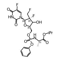 CC(C)OC(=O)[C@H](C)NP(=O)(OC[C@H]1O[C@@H](n2cc(F)c(=O)[nH]c2=O)[C@@](F)(CF)C1O)Oc1ccccc1